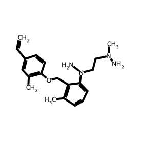 C=Cc1ccc(OCc2c(C)cccc2N(N)CCN(C)N)c(C)c1